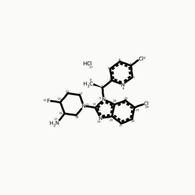 C[C@@H](c1ccc(Cl)cn1)n1c(N2CCC(F)C(N)C2)nc2ccc(Cl)cc21.Cl